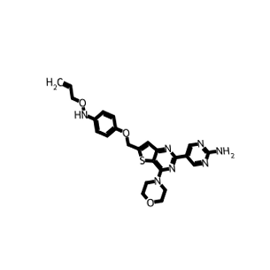 C=CCONc1ccc(OCc2cc3nc(-c4cnc(N)nc4)nc(N4CCOCC4)c3s2)cc1